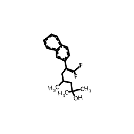 CC(CC(=C(F)F)c1ccc2ccccc2c1)CC(C)(C)O